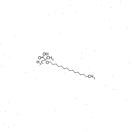 CCCCCCCCCCCCCCCOC(C)(C)C(=O)O